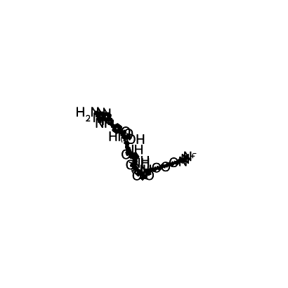 CC(C)[C@H](NC(=O)CCOCCOCCOCCN=[N+]=[N-])C(=O)N[C@@H](C)C(=O)Nc1ccc(C(=O)NCCC[C@H](NC(=O)c2ccc(CCc3cnc4nc(N)nc(N)c4n3)cc2)C(=O)O)s1